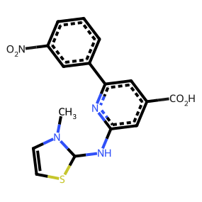 CN1C=CSC1Nc1cc(C(=O)O)cc(-c2cccc([N+](=O)[O-])c2)n1